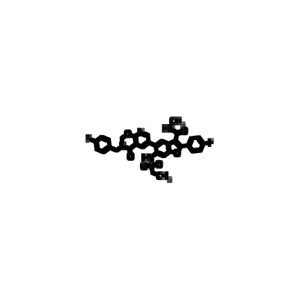 CCS(=O)(=O)Nc1cc2oc(-c3ccc(F)cc3)c(C(=O)NC)c2cc1-c1cnc2c(c1)C(=O)N(Cc1ccc(F)cc1)CO2